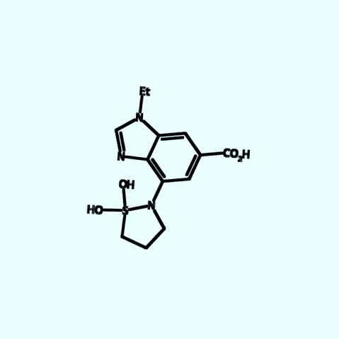 CCn1cnc2c(N3CCCS3(O)O)cc(C(=O)O)cc21